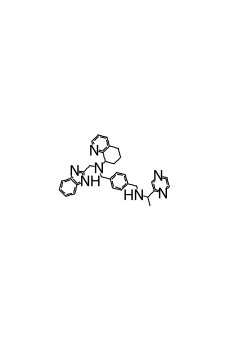 CC(NCc1ccc(CN(Cc2nc3ccccc3[nH]2)C2CCCc3cccnc32)cc1)c1cnccn1